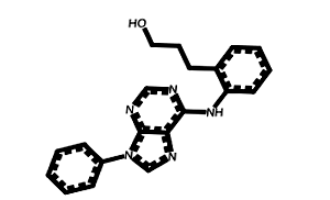 OCCCc1ccccc1Nc1ncnc2c1ncn2-c1ccccc1